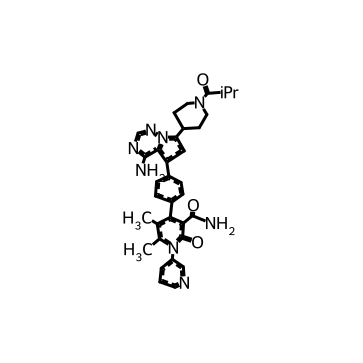 Cc1c(-c2ccc(-c3cc(C4CCN(C(=O)C(C)C)CC4)n4ncnc(N)c34)cc2)c(C(N)=O)c(=O)n(-c2cccnc2)c1C